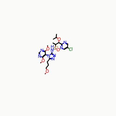 COCCCc1nnc(N[S+]([O-])C(C)[C@@H](OC(C)C)c2ncc(Cl)cn2)n1-c1c(OC)ncnc1OC